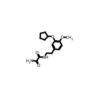 COc1ccc(CCNC(=O)C(N)=O)cc1OC1CCCC1